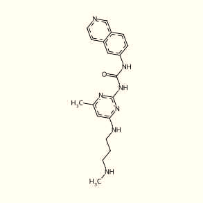 CNCCCNc1cc(C)nc(NC(=O)Nc2ccc3cnccc3c2)n1